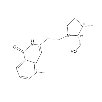 Cc1cccc2c(=O)[nH]c(CCN3CC[C@H](C)[C@@H]3CO)cc12